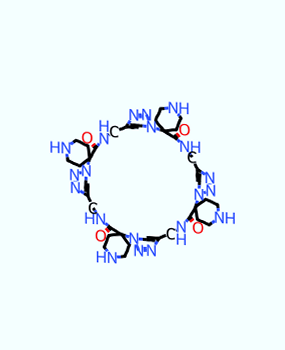 O=C1NCc2cn(nn2)C2(CCNCC2)C(=O)NCc2cn(nn2)C2(CCNCC2)C(=O)NCc2cn(nn2)C2(CCNCC2)C(=O)NCc2cn(nn2)C12CCNCC2